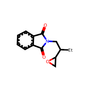 CCC(CN1C(=O)c2ccccc2C1=O)C1CO1